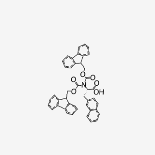 O=C(O)[C@H](Cc1ccc2ccccc2c1)N(C(=O)OCC1c2ccccc2-c2ccccc21)C(=O)OCC1c2ccccc2-c2ccccc21